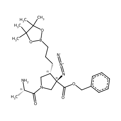 C[C@H](N)C(=O)N1C[C@H](CCCB2OC(C)(C)C(C)(C)O2)[C@](N=[N+]=[N-])(C(=O)OCc2ccccc2)C1